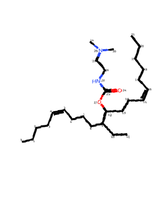 CCCC/C=C\CCCC(CC)C(CC/C=C\CCCCC)OC(=O)NCCN(C)C